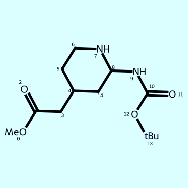 COC(=O)CC1CCNC(NC(=O)OC(C)(C)C)C1